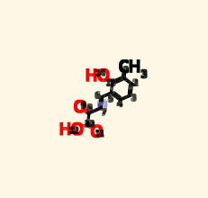 Cc1cccc(/C=C/C(=O)C(=O)O)c1O